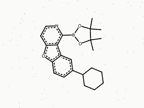 CC1(C)OB(c2nccc3oc4ccc(C5CCCCC5)cc4c23)OC1(C)C